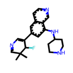 CC1(C)C=NC=C(c2cc(NC3CCNCC3)c3cnccc3c2)C1F